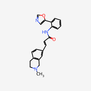 CN1CCc2ccc(/C=C/C(=O)Nc3ccccc3-c3cnco3)cc2C1